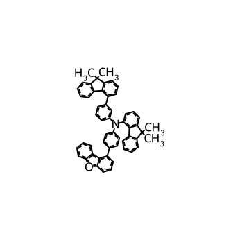 CC1(C)c2ccccc2-c2c(-c3cccc(N(c4ccc(-c5cccc6oc7ccccc7c56)cc4)c4cccc5c4-c4ccccc4C5(C)C)c3)cccc21